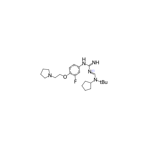 CC(C)(C)N(/C=N/C(=N)Nc1ccc(OCCN2CCCC2)c(F)c1)C1CCCC1